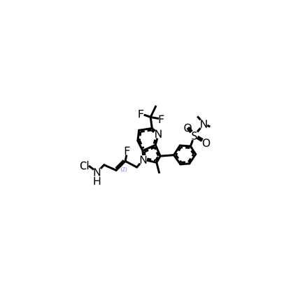 Cc1c(-c2cccc(S(=O)(=O)N(C)C)c2)c2nc(C(C)(F)F)ccc2n1C/C(F)=C/CNCl